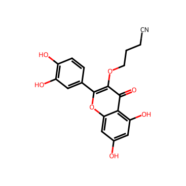 N#CCCCOc1c(-c2ccc(O)c(O)c2)oc2cc(O)cc(O)c2c1=O